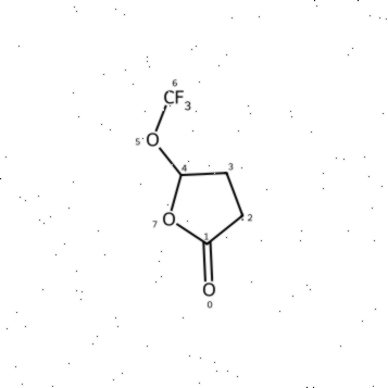 O=C1[CH]CC(OC(F)(F)F)O1